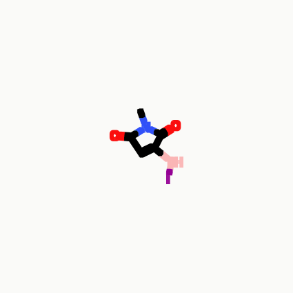 CN1C(=O)C=C(BI)C1=O